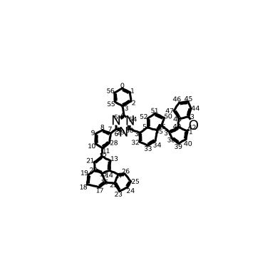 c1ccc(-c2nc(-c3cccc(-c4cc5c6c(cccc6c4)-c4ccccc4-5)c3)nc(-c3cccc4c(-c5cccc6oc7ccccc7c56)cccc34)n2)cc1